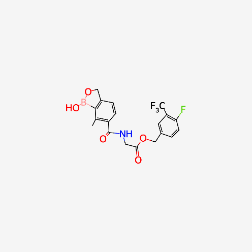 Cc1c(C(=O)NCC(=O)OCc2ccc(F)c(C(F)(F)F)c2)ccc2c1B(O)OC2